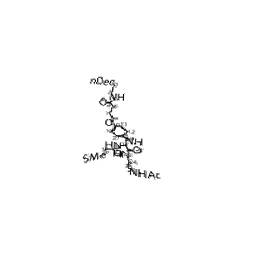 CCCCCCCCCCCCNC(=O)CCCOc1ccc(NC(NC(=O)CSC)C(=O)NCCNC(C)=O)cc1